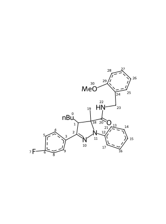 CCCCC1C(c2ccc(F)cc2)=NN(c2ccccc2)C1(C)C(=O)NCc1ccccc1OC